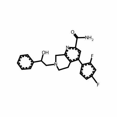 NC(=O)c1cc(-c2ccc(F)cc2F)c2c(n1)CN(CC(O)c1ccccc1)CC2